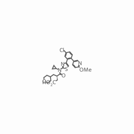 COc1ccc(-c2ccc(Cl)cc2-c2csc(N(C(=O)[C@@H](CC(=O)O)CC3CCOCC3)C3CC3)n2)cn1